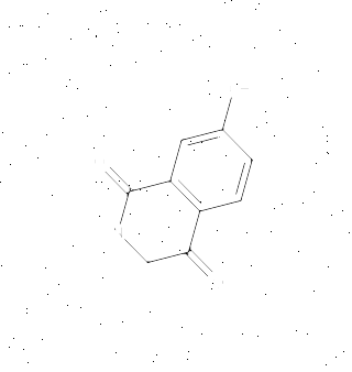 Cc1ccc2c(c1)C(=O)NCC2=O